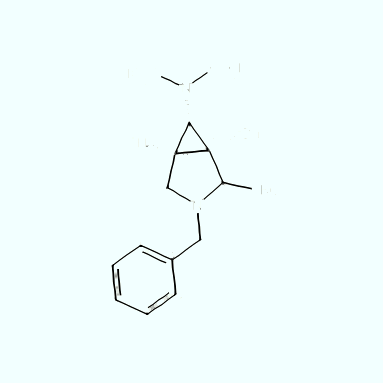 CC(C)(C)C1N(Cc2ccccc2)C[C@H]2[C@H](N(C(=O)O)C(=O)O)[C@@]12C(C)(C)C